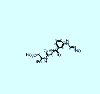 CC(C)C(CC(=O)O)NC(=O)CNC(=O)c1cccc(NC=NN=O)c1